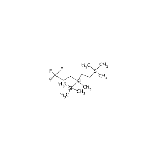 C[Si](C)(C)CC[Si](C)(CCC(F)(F)F)[Si](C)(C)C